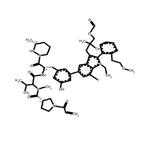 C=CC(=O)N1CC[C@H](C(=O)N(C)C(C(=O)N[C@@H](Cc2cc(O)cc(-c3cc(F)c4c(c3)c(CC(C)(C)COC=O)c(-c3ccccc3CCOC)n4CC)c2)C(=O)N2CCC[C@@H](C)N2)C(C)C)C1